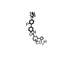 O=C(O)N1CCC(c2nc3cc(-c4ccc(-n5cnnn5)cc4F)ccc3o2)CC1C1CCC1